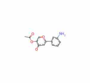 CC(=O)Oc1coc(-c2cccc(N)c2)cc1=O